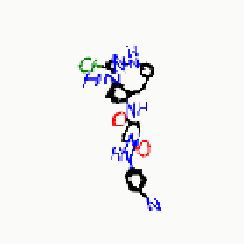 N#Cc1ccc(NC(=O)N2CCC(C(=O)Nc3ccc4cc3CCc3cccc(c3)Nc3ncc(Cl)c(n3)N4)CC2)cc1